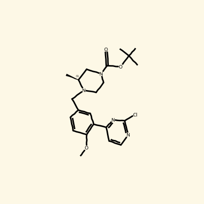 COc1ccc(CN2CCN(C(=O)OC(C)(C)C)C[C@@H]2C)cc1-c1ccnc(Cl)n1